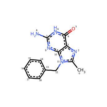 Cc1nc2c(=O)[nH]c(N)nc2n1Cc1ccccc1